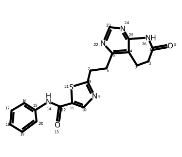 O=C1CCc2c(CCc3ncc(C(=O)Nc4ccccc4)s3)ncnc2N1